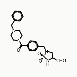 O=CC1CN(Cc2ccc(C(=O)N3CCN(Cc4ccccc4)CC3)cc2)S(=O)(=O)N1